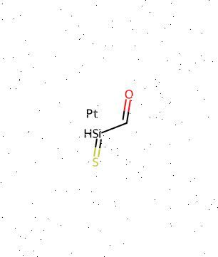 O=C[SiH]=S.[Pt]